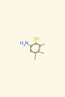 Cc1cc(N)c(S)c(C)c1C